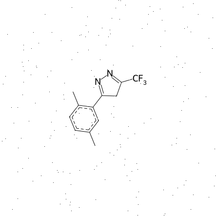 Cc1ccc(C)c(C2=NN=C(C(F)(F)F)C2)c1